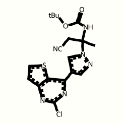 CC(C)(C)OC(=O)NC(C)(CC#N)n1cc(-c2nc(Cl)nc3ccsc23)cn1